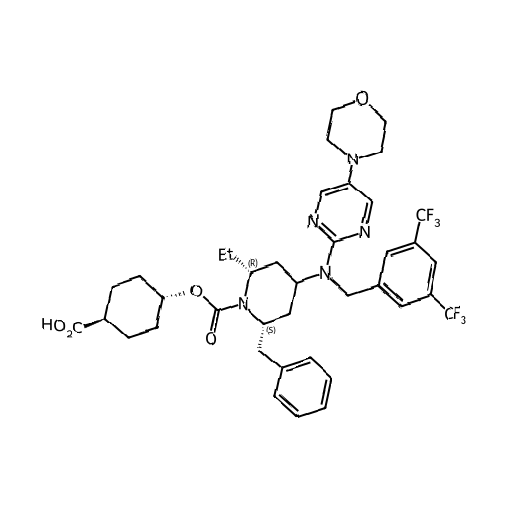 CC[C@@H]1CC(N(Cc2cc(C(F)(F)F)cc(C(F)(F)F)c2)c2ncc(N3CCOCC3)cn2)C[C@H](Cc2ccccc2)N1C(=O)O[C@H]1CC[C@H](C(=O)O)CC1